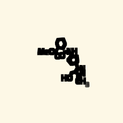 COC(=O)[C@H]1CCCC[C@@H]1C(=O)Nc1ccc(-c2nnn(C)c2CO)cc1